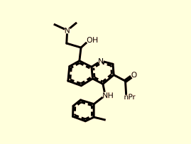 CCCC(=O)c1cnc2c(C(O)CN(C)C)cccc2c1Nc1ccccc1C